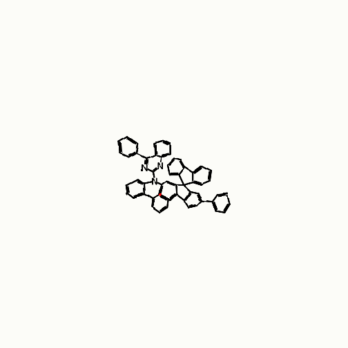 c1ccc(-c2ccc3c(c2)C2(c4ccccc4-c4ccccc42)c2cc(N(c4nc(-c5ccccc5)c5ccccc5n4)c4ccccc4-c4ccccc4)ccc2-3)cc1